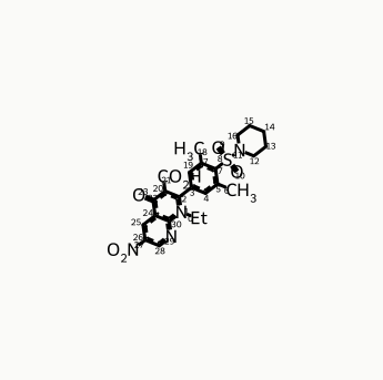 CCn1c(-c2cc(C)c(S(=O)(=O)N3CCCCC3)c(C)c2)c(C(=O)O)c(=O)c2cc([N+](=O)[O-])cnc21